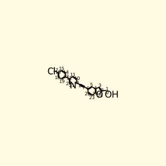 OCc1cc2cc(C#Cc3ccc(-c4ccc(Cl)cc4)cn3)ccc2o1